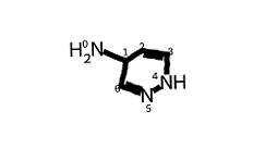 NC1C=CNN=C1